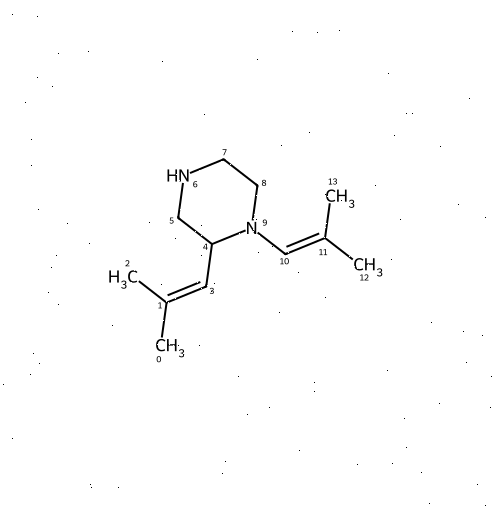 CC(C)=CC1CNCCN1C=C(C)C